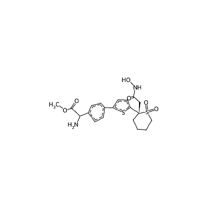 COC(=O)C(N)c1ccc(-c2ccc([C@@]3(CC(=O)NO)CCCCS3(=O)=O)s2)cc1